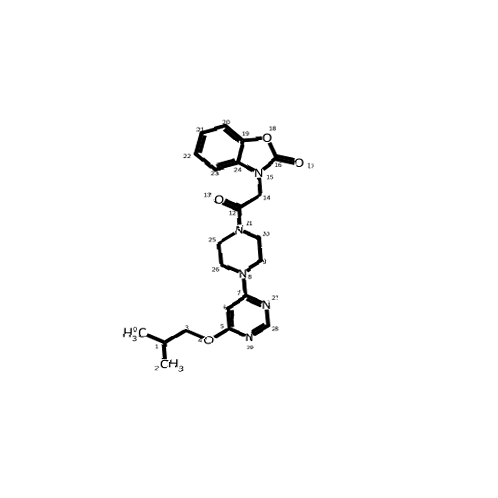 CC(C)COc1cc(N2CCN(C(=O)Cn3c(=O)oc4ccccc43)CC2)ncn1